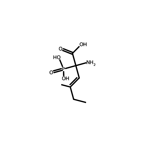 CCC(C)=CC(N)(C(=O)O)P(=O)(O)O